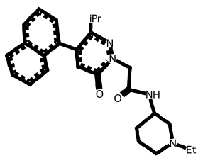 CCN1CCCC(NC(=O)Cn2nc(C(C)C)c(-c3cccc4ccccc34)cc2=O)C1